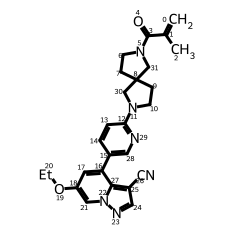 C=C(C)C(=O)N1CCC2(CCN(c3ccc(-c4cc(OCC)cn5ncc(C#N)c45)cn3)C2)C1